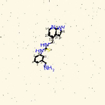 NCc1cccc(NC(=S)NCc2ccnc3[nH]ccc23)c1